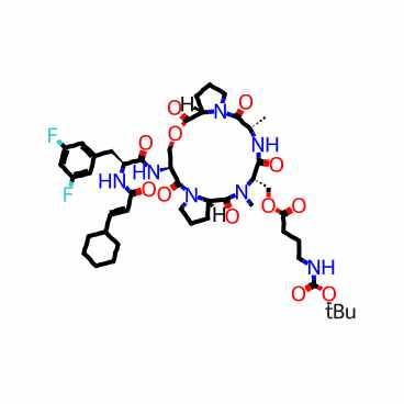 C[C@@H]1NC(=O)[C@H](COC(=O)CCCNC(=O)OC(C)(C)C)N(C)C(=O)[C@@H]2CCCN2C(=O)[C@@H](NC(=O)[C@H](Cc2cc(F)cc(F)c2)NC(=O)/C=C/C2CCCCC2)COC(=O)[C@@H]2CCCN2C1=O